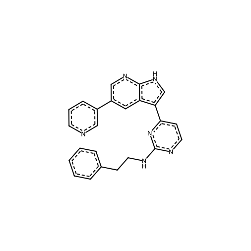 c1ccc(CCNc2nccc(-c3c[nH]c4ncc(-c5cccnc5)cc34)n2)cc1